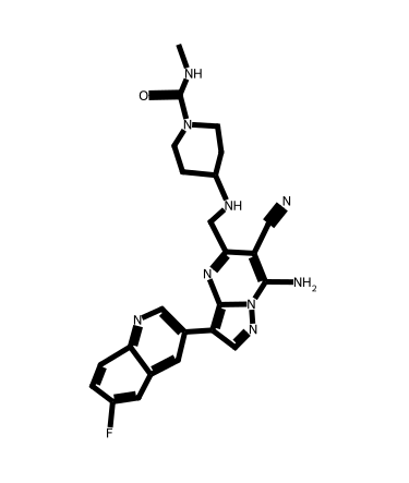 CNC(=O)N1CCC(NCc2nc3c(-c4cnc5ccc(F)cc5c4)cnn3c(N)c2C#N)CC1